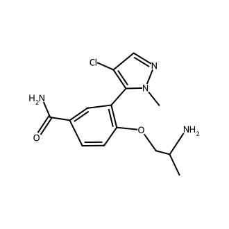 CC(N)COc1ccc(C(N)=O)cc1-c1c(Cl)cnn1C